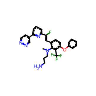 CN(CCCN)c1c(/C=C(\F)c2cccc(-c3ccnnc3)n2)ccc(Oc2ccccc2)c1C(F)(F)F